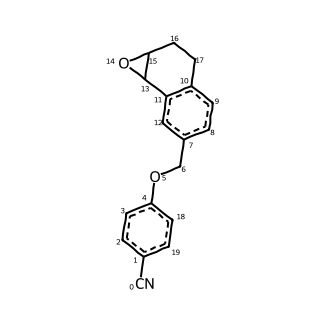 N#Cc1ccc(OCc2ccc3c(c2)C2OC2CC3)cc1